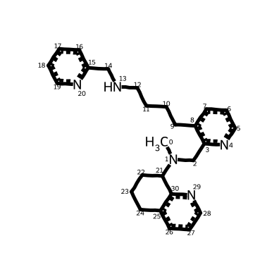 CN(Cc1ncccc1CCCCNCc1ccccn1)C1CCCc2cccnc21